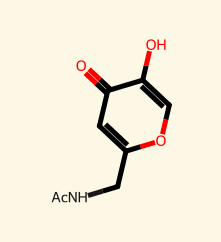 CC(=O)NCc1cc(=O)c(O)co1